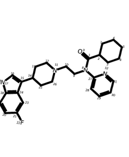 O=C(C1CCCCC1)N(CCN1CCC(c2c[nH]c3ccc(F)cc23)CC1)c1ccccn1